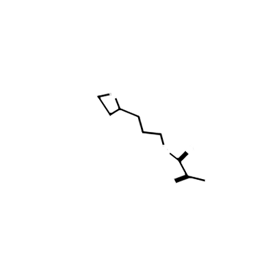 C=C(C)C(=O)OCCCC1CCO1